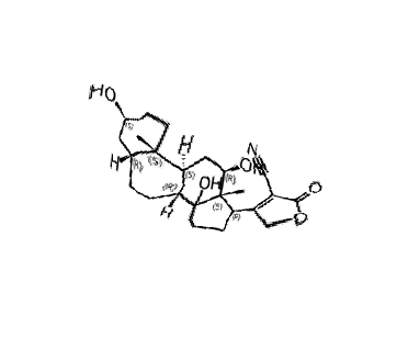 C[C@]12CC[C@H](O)C[C@H]1CC[C@@H]1[C@@H]2C[C@@H](O)[C@]2(C)[C@@H](C3=C(C#N)C(=O)OC3)CCC12O